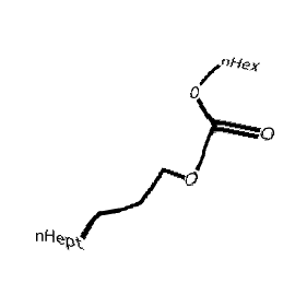 CCCCCCCCCCOC(=O)OCCCCCC